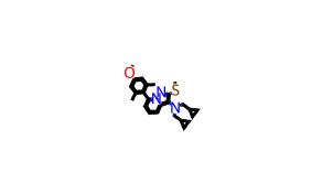 COc1cc(C)c(-c2cccc3c(N(CC4CC4)CC4CC4)c(SC)nn23)c(C)c1